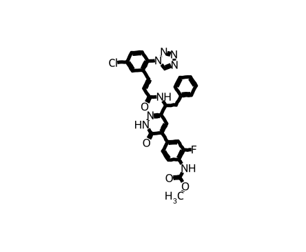 COC(=O)Nc1ccc(-c2cc(C(Cc3ccccc3)NC(=O)/C=C/c3cc(Cl)ccc3-n3cnnn3)n[nH]c2=O)cc1F